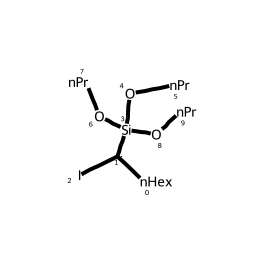 CCCCCC[C](I)[Si](OCCC)(OCCC)OCCC